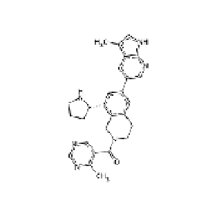 Cc1ncncc1C(=O)N1CCc2cc(-c3cnc4[nH]cc(C)c4c3)cc([C@@H]3CCCN3)c2C1